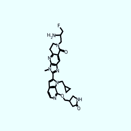 Cn1c(-c2cc3ccnc(OCC4CNC(=O)C4)c3n2CC2CC2)nc2cc3c(nc21)CCN(CC(N)CF)C3=O